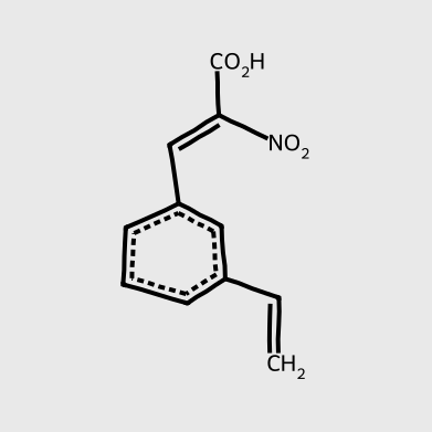 C=Cc1cccc(C=C(C(=O)O)[N+](=O)[O-])c1